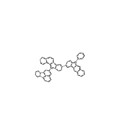 c1ccc(-n2c3ccc(-c4ccc5c(c4)c4ccc6ccccc6c4n5-c4cc5c6c(cccc6c4)-c4ccccc4-5)cc3c3cc4ccccc4cc32)cc1